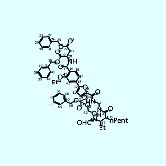 CCCCCC(C(=O)NCNC(=O)c1ccc(-c2ccc(C(=O)NC(CC(=O)OCc3ccccc3)C(=O)OCc3ccccc3)c(OCC)c2)o1)C(CC)N(C=O)OCOP(=O)(O)OCc1ccccc1